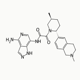 C[C@H]1CC[C@H](c2ccc3c(c2)CCN(C)C3)N(C(=O)C(=O)Nc2cnc(N)c3cn[nH]c23)C1